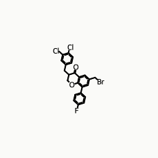 O=C1c2cc(CBr)cc(-c3ccc(F)cc3)c2OCC1Cc1ccc(Cl)c(Cl)c1